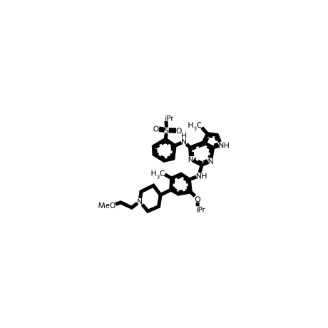 COCCN1CCC(c2cc(OC(C)C)c(Nc3nc(Nc4ccccc4S(=O)(=O)C(C)C)c4c(C)c[nH]c4n3)cc2C)CC1